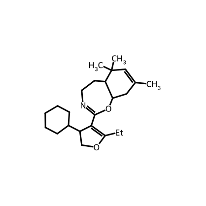 CCC1=C(C2=NCCC3C(CC(C)=CC3(C)C)O2)C(C2CCCCC2)CO1